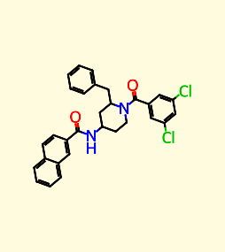 O=C(NC1CCN(C(=O)c2cc(Cl)cc(Cl)c2)C(Cc2ccccc2)C1)c1ccc2ccccc2c1